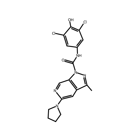 Cc1nn(C(=O)Nc2cc(Cl)c(O)c(Cl)c2)c2cnc(N3CCCC3)cc12